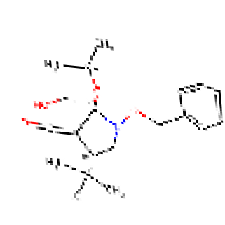 C[SiH](C)O[C@]1(CO)C(=C=O)[C@@H](C(C)(C)C)CN1OCc1ccccc1